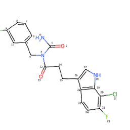 NC(=O)N(Cc1cccc(Cl)c1)C(=O)CCc1c[nH]c2c(Cl)c(F)ccc12